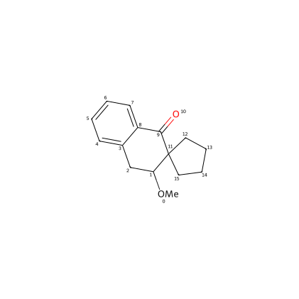 COC1Cc2ccccc2C(=O)C12CCCC2